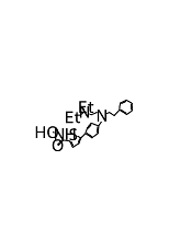 CCN(CC)CCN(CCc1ccccc1)Cc1ccc(-c2ccc(C(=O)NO)s2)cc1